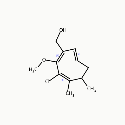 COC1=C(CO)/C=C/CC(C)/C(C)=C\1Cl